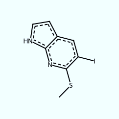 CSc1nc2[nH]ccc2cc1I